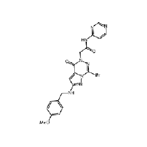 COc1ccc(CNc2cc3c(=O)n(CC(=O)Nc4ccncn4)nc(C(C)C)n3n2)cc1